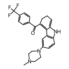 CN1CCN(c2ccc3[nH]c4c(c3c2)=C(C(=O)c2ccc(C(F)(F)F)cc2)CCC=4)CC1